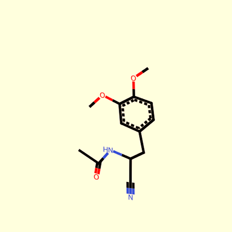 COc1ccc(CC(C#N)NC(C)=O)cc1OC